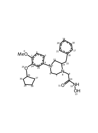 COc1ccc(N2CCN(CC(=O)NO)C(Cc3ccccc3)C2)cc1OC1CCCC1